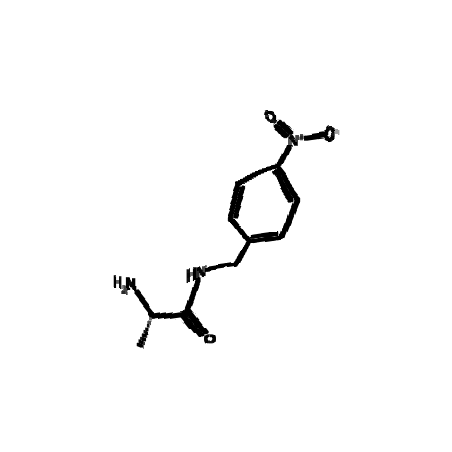 C[C@H](N)C(=O)NCc1ccc([N+](=O)[O-])cc1